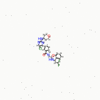 O=C(CN1Cc2ccc(-c3nc(NC4CCOCC4)ncc3Cl)cc2C1=O)NC(CC(F)F)c1ccccc1